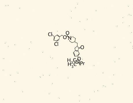 CC(C)[Si](C)(C)Oc1ccc2c(c1)C(=O)C(CC1CCN(C(=O)OCc3cc(Cl)cc(Cl)c3)CC1)C2